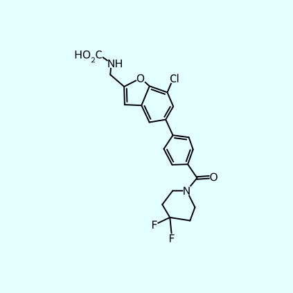 O=C(O)NCc1cc2cc(-c3ccc(C(=O)N4CCC(F)(F)CC4)cc3)cc(Cl)c2o1